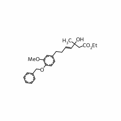 CCOC(=O)CC(C)(O)C=CCCc1ccc(OCc2ccccc2)c(OC)c1